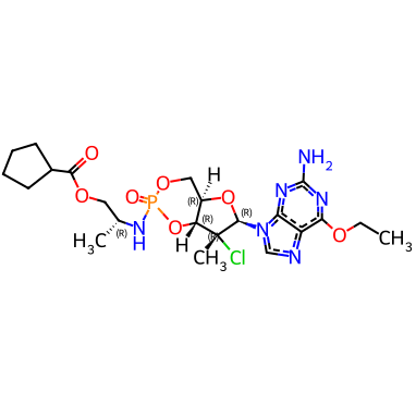 CCOc1nc(N)nc2c1ncn2[C@@H]1O[C@@H]2COP(=O)(N[C@H](C)COC(=O)C3CCCC3)O[C@H]2[C@@]1(C)Cl